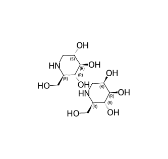 OC[C@H]1NC[C@@H](O)[C@@H](O)[C@@H]1O.OC[C@H]1NC[C@H](O)[C@@H](O)[C@@H]1O